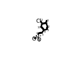 Cc1ccc(C=C[N+](=O)[O-])cc1Cl